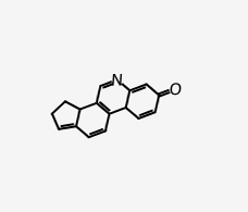 O=C1C=CC2C(=C1)N=CC1=C2C=CC2=CCCC21